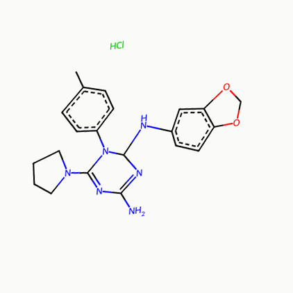 Cc1ccc(N2C(N3CCCC3)=NC(N)=NC2Nc2ccc3c(c2)OCO3)cc1.Cl